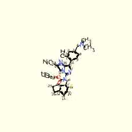 Cc1cc(CN(C)C)ccc1-c1cnc(N(Cc2c(F)ccc3c2CCC3)C(=O)OC(C)(C)C)n2cc(C#N)nc12